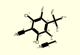 CC#N.N#Cc1c(Cl)c(F)c(C(F)(F)F)c(F)c1Cl